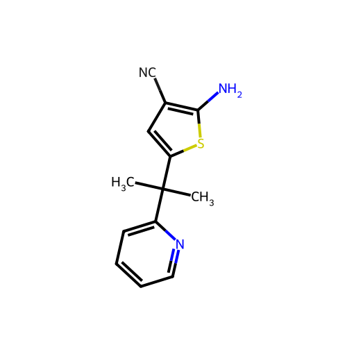 CC(C)(c1ccccn1)c1cc(C#N)c(N)s1